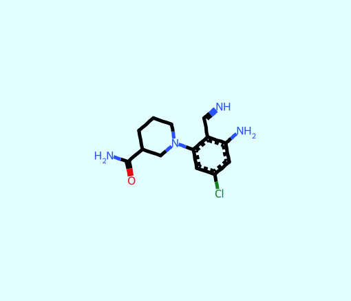 N=Cc1c(N)cc(Cl)cc1N1CCCC(C(N)=O)C1